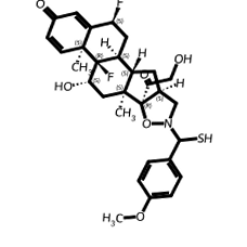 COc1ccc(C(S)N2C[C@@H]3C[C@H]4[C@@H]5C[C@H](F)C6=CC(=O)C=C[C@]6(C)[C@@]5(F)[C@@H](O)C[C@]4(C)[C@]3(C(=O)CO)O2)cc1